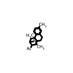 CC(=O)C1CC2C3Cc4cc(C)ccc4[C@@]2(C)CC1N3C